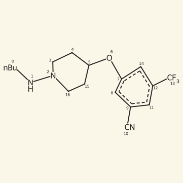 CCCCNN1CCC(Oc2cc(C#N)cc(C(F)(F)F)c2)CC1